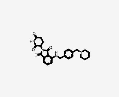 O=C1CCC(N2C(=O)c3cccc(NCc4ccc(CN5CCCCC5)cc4)c3C2=O)C(=O)N1